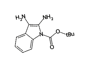 CC(C)(C)OC(=O)n1c(N)c(N)c2ccccc21